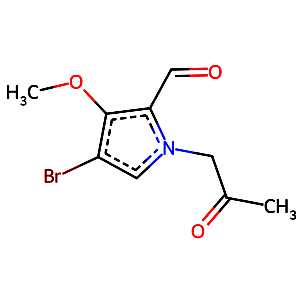 COc1c(Br)cn(CC(C)=O)c1C=O